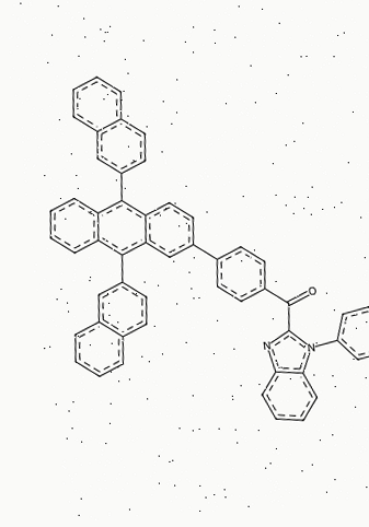 O=C(c1ccc(-c2ccc3c(-c4ccc5ccccc5c4)c4ccccc4c(-c4ccc5ccccc5c4)c3c2)cc1)c1nc2ccccc2n1-c1ccccc1